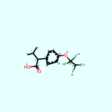 CC(C)C(C(=O)O)c1ccc(OC(F)(F)C(F)F)cc1